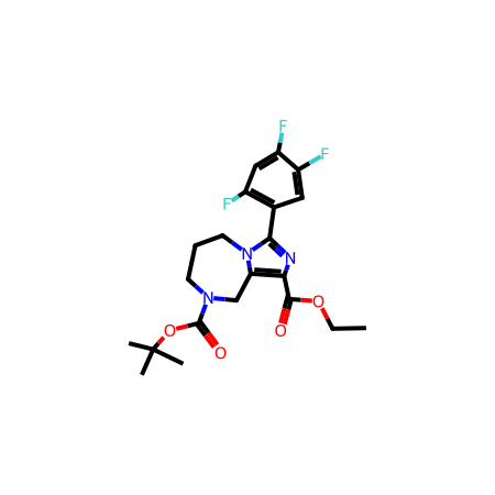 CCOC(=O)c1nc(-c2cc(F)c(F)cc2F)n2c1CN(C(=O)OC(C)(C)C)CCC2